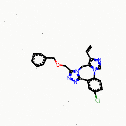 C=Cc1ncn2c1Cn1c(COCc3ccccc3)nnc1-c1cc(Cl)ccc1-2